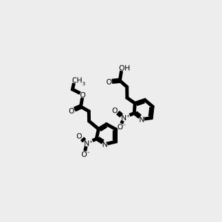 CCOC(=O)CCc1cccnc1[N+](=O)[O-].O=C(O)CCc1cccnc1[N+](=O)[O-]